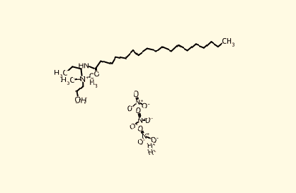 CCCCCCCCCCCCCCCCCC(=O)NC(CC)[N+](C)(C)CCO.O=[N+]([O-])[O-].O=[N+]([O-])[O-].O=[N+]([O-])[O-].[H+].[H+]